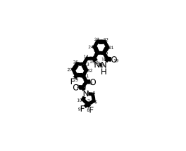 O=C(C(=O)N1CCC(F)(F)C1)c1cc(Cc2n[nH]c(=O)c3ccccc23)ccc1F